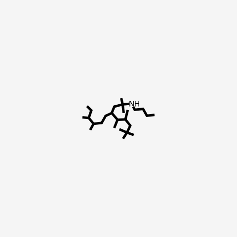 CCCCNC(C)(C)CC(CCC(C)C(C)CC)C(C)C(C)CC(C)(C)C